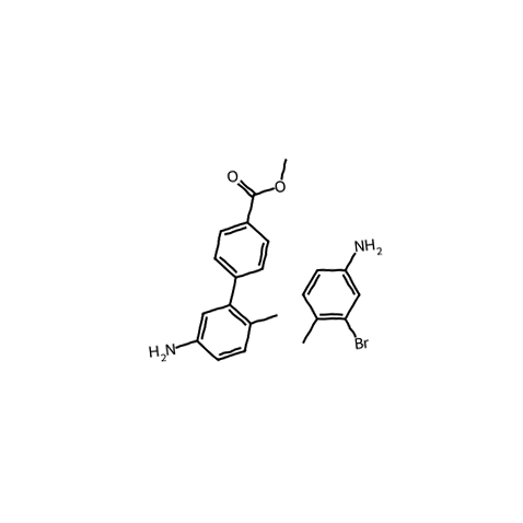 COC(=O)c1ccc(-c2cc(N)ccc2C)cc1.Cc1ccc(N)cc1Br